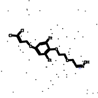 CCc1cc(OCC=C(Cl)Cl)cc(CC)c1OCCOC/C=N\O